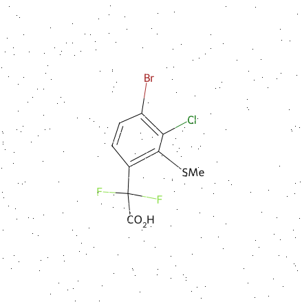 CSc1c(C(F)(F)C(=O)O)ccc(Br)c1Cl